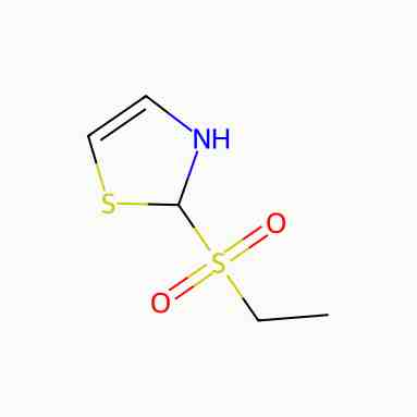 CCS(=O)(=O)C1NC=CS1